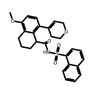 COc1ccc(C2=CCOCC2)c2c1CCCC2C(=O)NS(=O)(=O)c1cccc2ccccc12